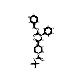 CC(C)(C)OC(=O)N1CCC(C(=O)CN(C(=O)OCc2ccccc2)c2ccccc2)CC1